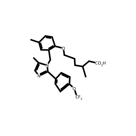 Cc1ccc(OCCCC(C)CC(=O)O)c(Cn2c(C)cnc2-c2ccc(OC(F)(F)F)cc2)c1